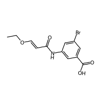 CCOC=CC(=O)Nc1cc(Br)cc(C(=O)O)c1